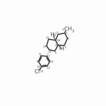 CC1CC[C@@H]2C[C@H](c3ccc(Cl)cc3)CC[C@@H]2C1